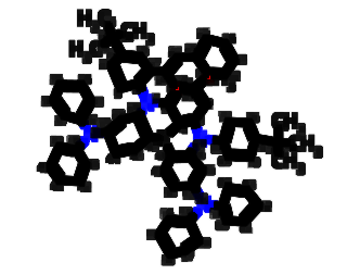 Cc1cc2c3c(c1)N(c1ccc(C(C)(C)C)cc1-c1ccc4ccccc4c1)c1cc(N(c4ccccc4)c4ccccc4)ccc1B3c1ccc(N(c3ccccc3)c3ccccc3)cc1N2c1ccc(C(C)(C)C)cc1